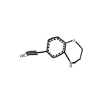 C#Cc1ccc2c(c1)NCCO2